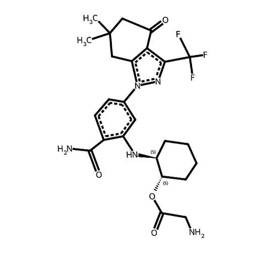 CC1(C)CC(=O)c2c(C(F)(F)F)nn(-c3ccc(C(N)=O)c(N[C@H]4CCCC[C@@H]4OC(=O)CN)c3)c2C1